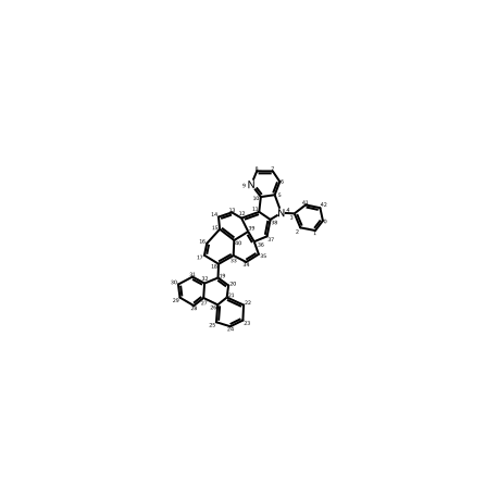 c1ccc(-n2c3cccnc3c3c4ccc5ccc(-c6cc7ccccc7c7ccccc67)c6ccc(cc32)c4c56)cc1